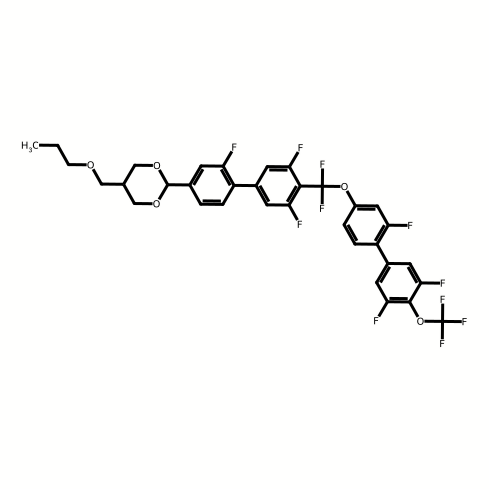 CCCOCC1COC(c2ccc(-c3cc(F)c(C(F)(F)Oc4ccc(-c5cc(F)c(OC(F)(F)F)c(F)c5)c(F)c4)c(F)c3)c(F)c2)OC1